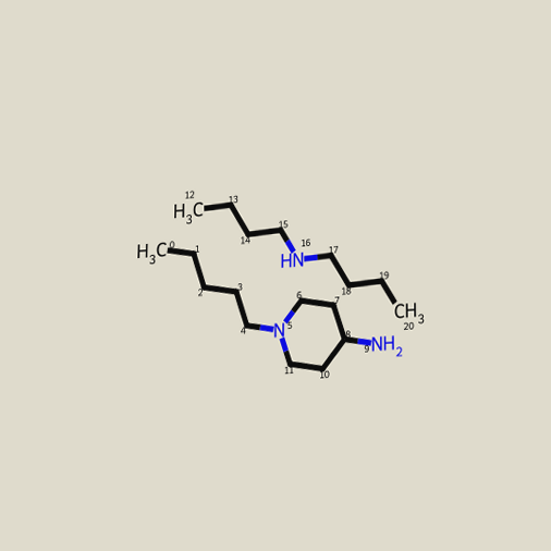 CCCCCN1CCC(N)CC1.CCCCNCCCC